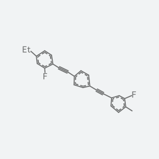 CCc1ccc(C#Cc2ccc(C#Cc3ccc(C)c(F)c3)cc2)c(F)c1